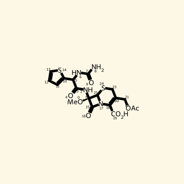 CO[C@]1(NC(=O)C(NC(N)=O)c2cccs2)C(=O)N2C(C(=O)O)=C(COC(C)=O)CSC21